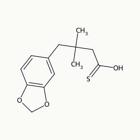 CC(C)(CC(O)=S)Cc1ccc2c(c1)OCO2